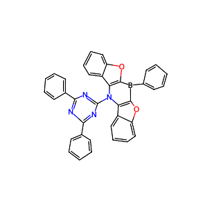 c1ccc(B2c3oc4ccccc4c3N(c3nc(-c4ccccc4)nc(-c4ccccc4)n3)c3c2oc2ccccc32)cc1